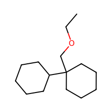 CCOCC1(C2CCCCC2)CCCCC1